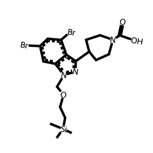 C[Si](C)(C)CCOCn1nc(C2CCN(C(=O)O)CC2)c2c(Br)cc(Br)cc21